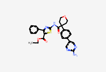 CCOC(=O)c1sc(NC(=O)C2(c3ccc(-c4cnc(N)nc4)cc3)CCOCC2)nc1-c1ccccc1